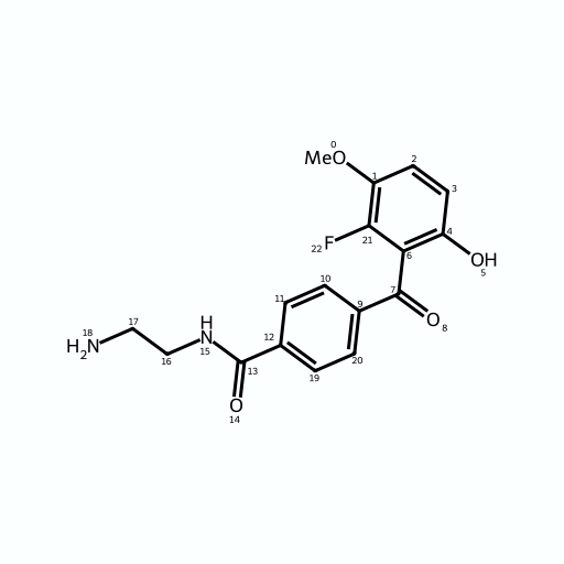 COc1ccc(O)c(C(=O)c2ccc(C(=O)NCCN)cc2)c1F